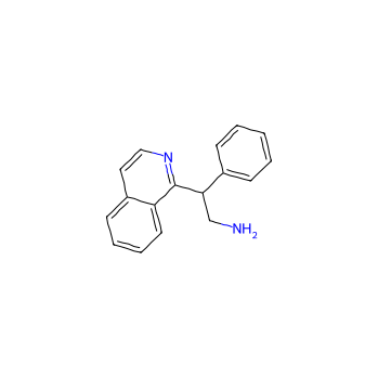 NCC(c1ccccc1)c1nccc2ccccc12